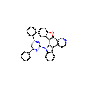 c1ccc(-c2cc(-c3ccccc3)nc(-n3c4ccccc4c4c5ccncc5c5oc6ccccc6c5c43)n2)cc1